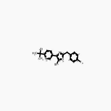 CCC(C)(C)c1ccc(-c2nc(Cc3ccc(F)cc3)oc2Br)cn1